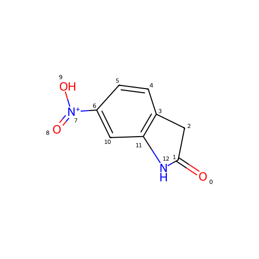 O=C1Cc2ccc([N+](=O)O)cc2N1